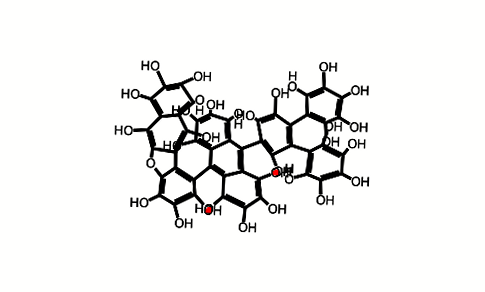 Oc1c(O)c(O)c(-c2c(O)c(O)c(-c3c4c(O)c(O)c(O)c(O)c4c(-c4c(O)c(O)c(O)c5oc6c(O)c7c(O)c(O)c(O)c(O)c7c(O)c6c45)c4c(O)c(O)c(O)c(O)c34)c(O)c2-c2c(O)c(O)c(O)c(O)c2O)c(O)c1O